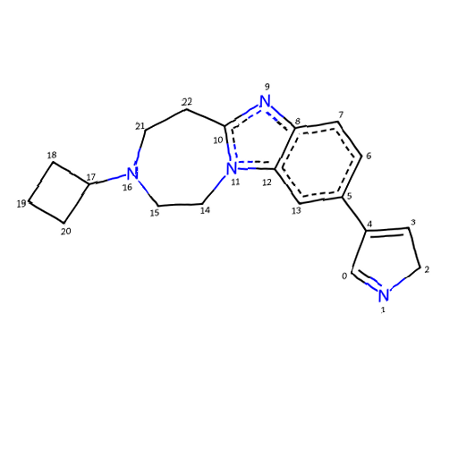 C1=NCC=C1c1ccc2nc3n(c2c1)CCN(C1CCC1)CC3